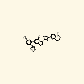 O=c1cc(-c2cc(Cl)ccc2-n2cnnn2)cc2n1[C@H](c1ncc(-c3ccc4c(c3)CCCN4)[nH]1)CC2